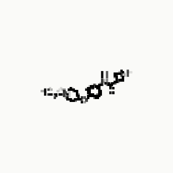 O=C(Nc1ccc(OC2CCN(C(=O)O)CC2)cc1)C1CNC1